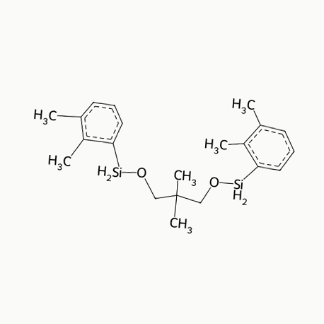 Cc1cccc([SiH2]OCC(C)(C)CO[SiH2]c2cccc(C)c2C)c1C